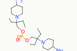 CCC(CC)(CO[PH](=O)OCC(CC)(CC)N1CCC(N)CC1)N1CCC(N)CC1